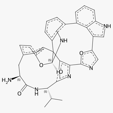 CC(C)[C@@H]1NC(=O)[C@@H](N)Cc2ccc3c(c2)C24c5cccc(c5N[C@H]2O3)-c2cccc3[nH]cc(c23)-c2cnc(o2)-c2nc1oc24